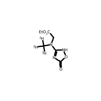 [2H]C([2H])([2H])N(CC(=O)OCC)c1nc(=O)o[nH]1